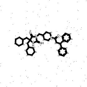 N=C1NC(CC2CCCCC2)(CC2CCCCC2)C(=O)N1CC1CCN(C(=O)CC(c2ccccc2)c2ccccc2)CC1